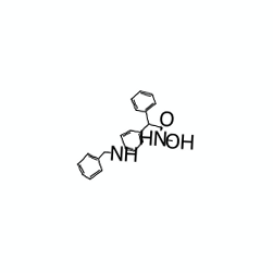 O=C(NO)C(c1ccccc1)c1ccc(NCc2ccccc2)cc1